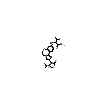 CC(C)[C@H](Nc1ccc2c(c1)OCCn1cc(N3C(=O)OC[C@H]3C(F)F)nc1-2)C(N)=O